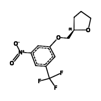 O=[N+]([O-])c1cc(OC[C@H]2CCCO2)cc(C(F)(F)F)c1